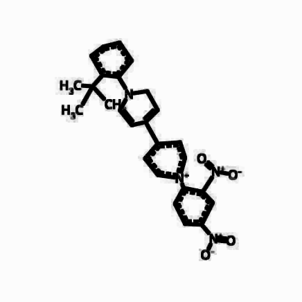 CC(C)(C)c1ccccc1N1C=CC(c2cc[n+](-c3ccc([N+](=O)[O-])cc3[N+](=O)[O-])cc2)=CC1